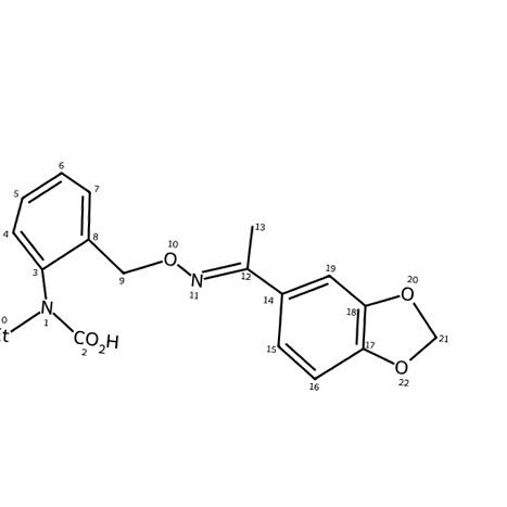 CCN(C(=O)O)c1ccccc1CON=C(C)c1ccc2c(c1)OCO2